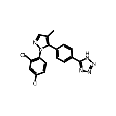 Cc1cnn(-c2ccc(Cl)cc2Cl)c1-c1ccc(-c2nnn[nH]2)cc1